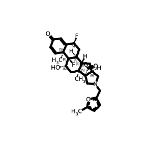 Cc1ccc(CN2C[C@@H]3C[C@H]4[C@@H]5C[C@H](F)C6=CC(=O)C=C[C@]6(C)[C@@]5(F)[C@@H](O)C[C@]4(C)[C@]3(C(=O)O)C2)o1